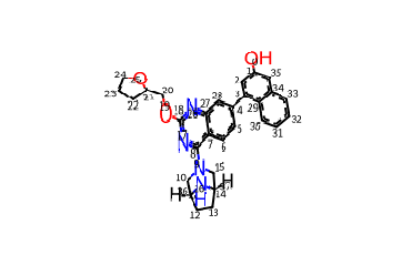 Oc1cc(-c2ccc3c(N4C[C@H]5CC[C@@H](C4)N5)nc(OCC4CCCO4)nc3c2)c2ccccc2c1